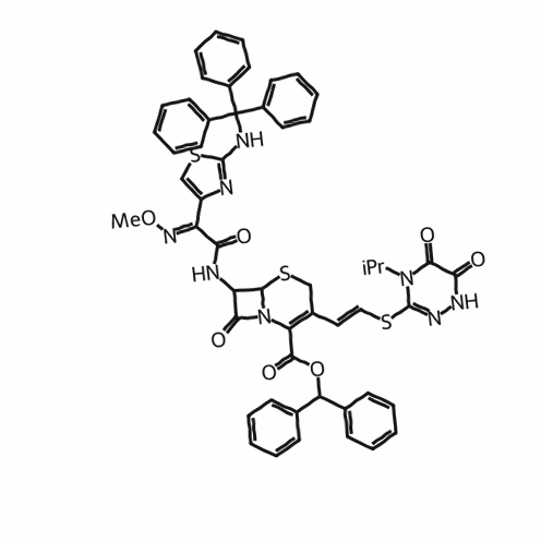 CON=C(C(=O)NC1C(=O)N2C(C(=O)OC(c3ccccc3)c3ccccc3)=C(C=CSc3n[nH]c(=O)c(=O)n3C(C)C)CSC12)c1csc(NC(c2ccccc2)(c2ccccc2)c2ccccc2)n1